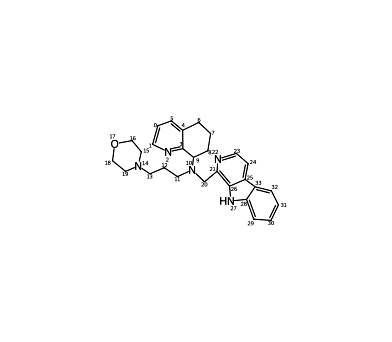 c1cnc2c(c1)CCCC2N(CCCN1CCOCC1)Cc1nccc2c1[nH]c1ccccc12